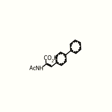 CC(=O)N/C(=C/c1ccc(-c2ccccc2)cc1)C(=O)O